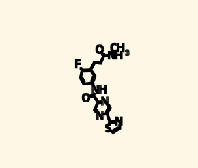 CNC(=O)CCc1cc(NC(=O)c2cnc(-c3nccs3)cn2)ccc1F